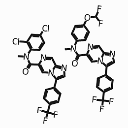 CN(C(=O)c1cn2c(-c3ccc(C(F)(F)F)cc3)cnc2cn1)c1ccc(Cl)cc1Cl.CN(C(=O)c1cn2c(-c3ccc(C(F)(F)F)cc3)cnc2cn1)c1ccc(OC(F)F)cc1